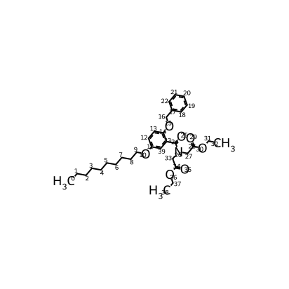 CCCCCCCCCCOc1ccc(OCc2ccccc2)c(C(=O)N(CC(=O)OCC)CC(=O)OCC)c1